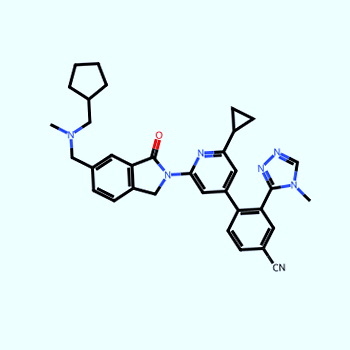 CN(Cc1ccc2c(c1)C(=O)N(c1cc(-c3ccc(C#N)cc3-c3nncn3C)cc(C3CC3)n1)C2)CC1CCCC1